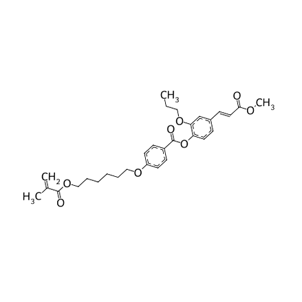 C=C(C)C(=O)OCCCCCCOc1ccc(C(=O)Oc2ccc(/C=C/C(=O)OC)cc2OCCC)cc1